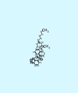 CCCCCCN1CC[C@](C)(c2cccc(NS(=O)(=O)c3cccc4nonc34)c2)[C@@H](C)C1